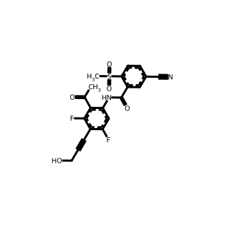 CC(=O)c1c(NC(=O)c2cc(C#N)ccc2S(C)(=O)=O)cc(F)c(C#CCO)c1F